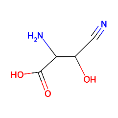 N#CC(O)C(N)C(=O)O